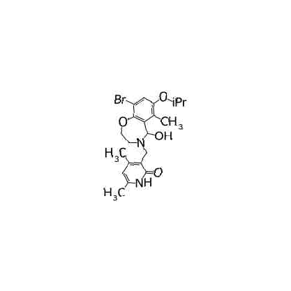 Cc1cc(C)c(CN2CCOc3c(Br)cc(OC(C)C)c(C)c3C2O)c(=O)[nH]1